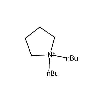 CCCC[N+]1(CCCC)CCCC1